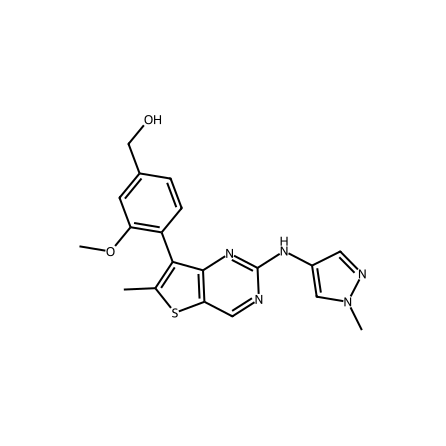 COc1cc(CO)ccc1-c1c(C)sc2cnc(Nc3cnn(C)c3)nc12